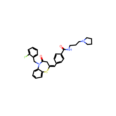 O=C(NCCCN1CCCC1)c1ccc(/C=C2\CC(=O)N(Cc3ccccc3F)c3ccccc3S2)cc1